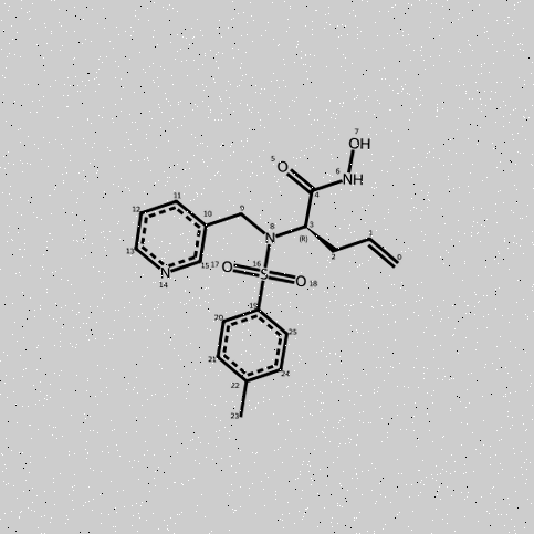 C=CC[C@H](C(=O)NO)N(Cc1cccnc1)S(=O)(=O)c1ccc(C)cc1